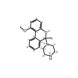 COc1cccc2c1-c1ccccc1C(C)(N1CCNCC1)O2